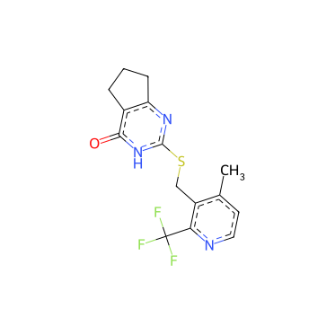 Cc1ccnc(C(F)(F)F)c1CSc1nc2c(c(=O)[nH]1)CCC2